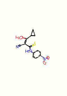 N#C/C(C(=S)Nc1ccc([N+](=O)[O-])cc1)=C(\O)C1CC1